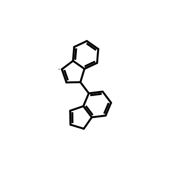 [C]1=CC(c2cccc3c2C=CC3)c2ccccc21